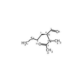 CSCC[C@@H]([C]=O)N(C)C(C)=O